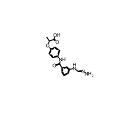 CC(Oc1ccc(NC(=O)c2cccc(NC=NN)c2)cc1)C(=O)O